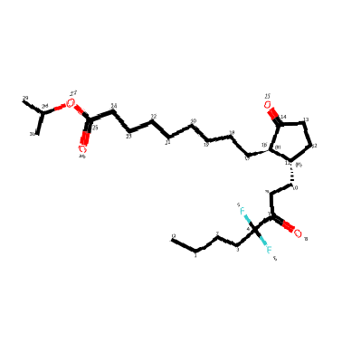 CCCCC(F)(F)C(=O)CC[C@H]1CCC(=O)[C@@H]1CCCCCCCCC(=O)OC(C)C